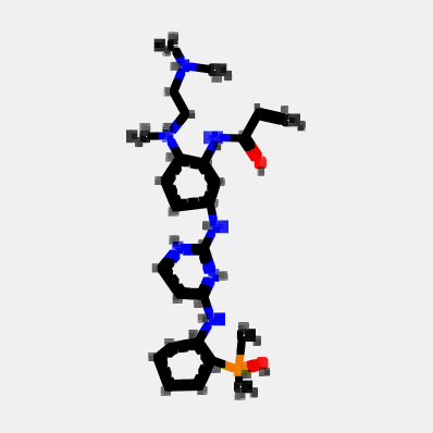 C=CC(=O)Nc1cc(Nc2nccc(Nc3ccccc3P(C)(C)=O)n2)ccc1N(C)CCN(C)C